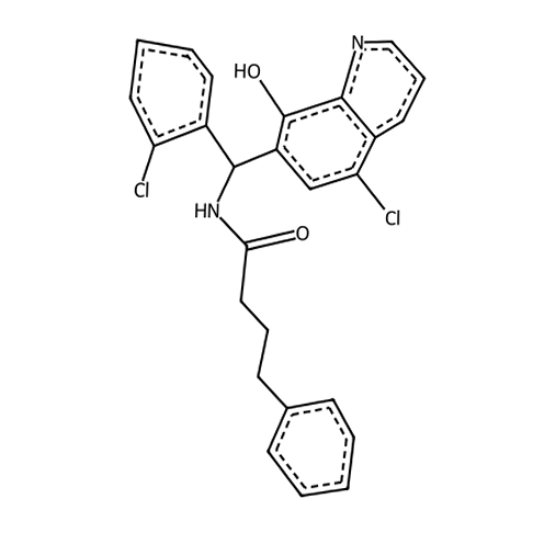 O=C(CCCc1ccccc1)NC(c1ccccc1Cl)c1cc(Cl)c2cccnc2c1O